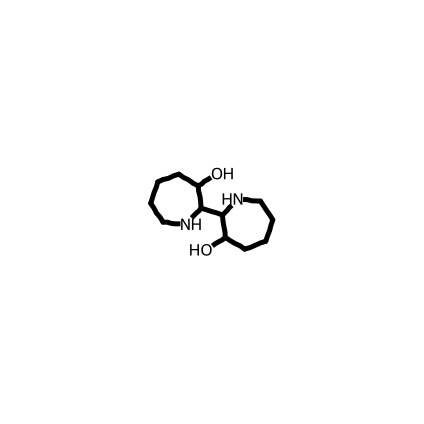 OC1CCCCNC1C1NCCCCC1O